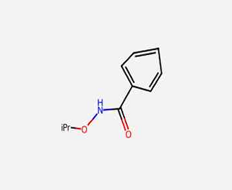 CC(C)ONC(=O)c1ccccc1